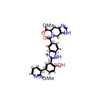 COC(=O)C1Cc2nc[nH]c2CN1C(=O)c1ccc2[nH]c(-c3cc(-c4cccnc4OC)ccc3O)nc2c1